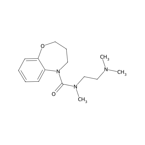 CN(C)CCN(C)C(=O)N1CCCOc2ccccc21